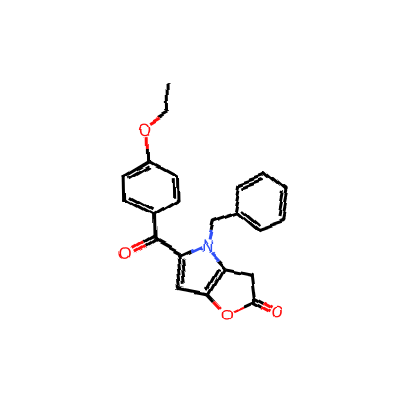 CCOc1ccc(C(=O)c2cc3c(n2Cc2ccccc2)CC(=O)O3)cc1